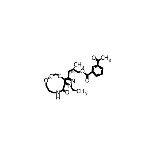 CCn1nc(C[C@@H](C)COC(=O)c2cccc(C(C)=O)c2)c2c1C(=O)NCCCOCCC2